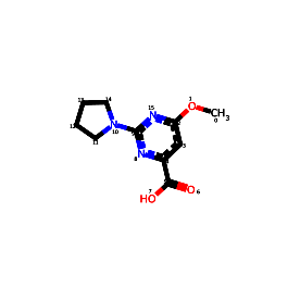 COc1cc(C(=O)O)nc(N2CCCC2)n1